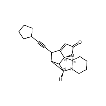 O=C1C=C2C(C#CC3CCCC3)C3C4[C@@H]3N3CCCC[C@@H]3[C@@]24O1